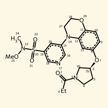 CCC(=O)N1CC[C@H](Oc2ccc3c(c2)N(c2cncc(S(=O)(=O)N(C)OC)c2)CCO3)C1